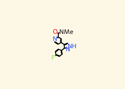 CNC(=O)c1cc(-c2c[nH]nc2-c2ccc(F)cc2)ccn1